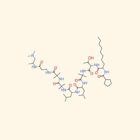 CCCCCCCCC(NC(=O)C1CCCC1)C(=O)NC(C(=O)NC(C)(C)C(=O)NC(CC(C)C)C(=O)NC(CC(C)C)C(=O)NC(C)(C)C(=O)NC(C)(C)C(=O)NCCC(=O)NC(C)CN(C)C)C(C)O